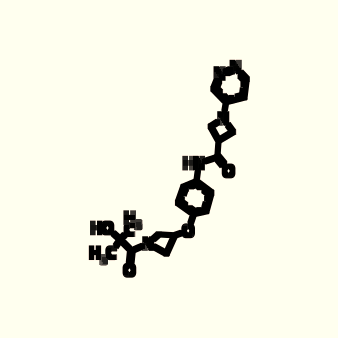 CC(C)(O)C(=O)N1CC(Oc2ccc(NC(=O)C3CN(c4ccnnc4)C3)cc2)C1